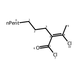 CCCCCCCC/C(C(=O)Cl)=C(\C)Cl